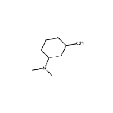 CN(C)C1CCCC(O)C1